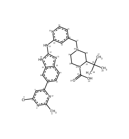 Cc1nc(Cl)cc(-c2ccc3nc(Nc4cc(CN5CCN(C(=O)O)C(C(C)(C)C)C5)ccn4)[nH]c3c2)n1